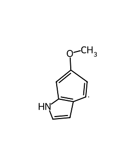 COc1c[c]c2cc[nH]c2c1